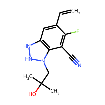 C=Cc1cc2c(c(C#N)c1F)N(CC(C)(C)O)NN2